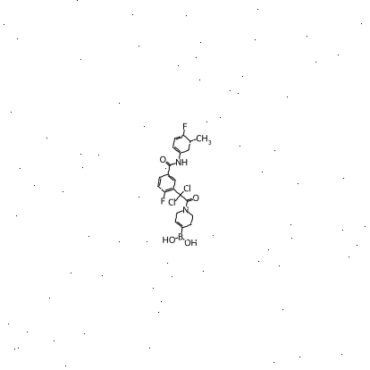 CC1CC(NC(=O)c2ccc(F)c(C(Cl)(Cl)C(=O)N3CC=C(B(O)O)CC3)c2)=CC=C1F